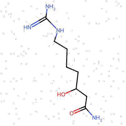 N=C(N)NCCCCC(O)CC(N)=O